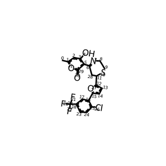 Cc1cc(O)c(C2=NCCSC(c3ccc(-c4cc(C(F)(F)F)ccc4Cl)o3)C2)c(=O)o1